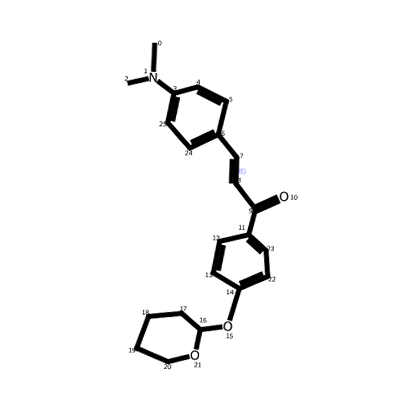 CN(C)c1ccc(/C=C/C(=O)c2ccc(OC3CCCCO3)cc2)cc1